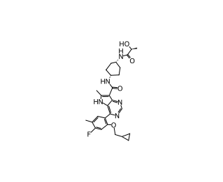 Cc1cc(-c2ncnc3c(C(=O)N[C@H]4CC[C@@H](NC(=O)[C@H](C)O)CC4)c(C)[nH]c23)c(OCC2CC2)cc1F